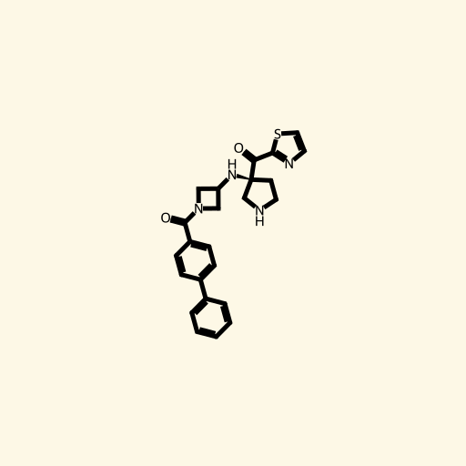 O=C(c1ccc(-c2ccccc2)cc1)N1CC(N[C@@]2(C(=O)c3nccs3)CCNC2)C1